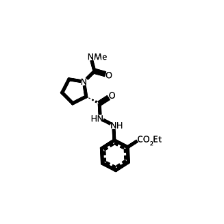 CCOC(=O)c1ccccc1NNC(=O)[C@@H]1CCCN1C(=O)NC